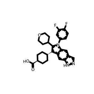 O=C(O)[C@H]1CC[C@H](c2c(C3CCOCC3)n(-c3ccc(F)c(F)c3)c3cc4cn[nH]c4cc32)CC1